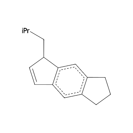 CC(C)CC1C=Cc2cc3c(cc21)CCC3